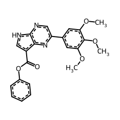 COc1cc(-c2cnc3[nH]cc(C(=O)Oc4ccccc4)c3n2)cc(OC)c1OC